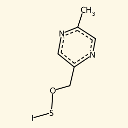 Cc1cnc(COSI)cn1